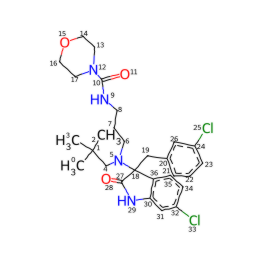 CC(C)(C)CN(CCCNC(=O)N1CCOCC1)C1(Cc2cccc(Cl)c2)C(=O)Nc2cc(Cl)ccc21